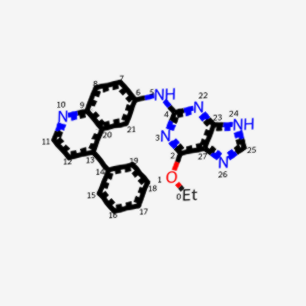 CCOc1nc(Nc2ccc3nccc(-c4ccccc4)c3c2)nc2[nH]cnc12